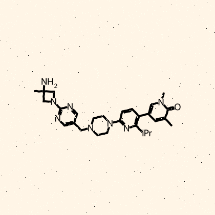 Cc1cc(-c2ccc(N3CCN(Cc4cnc(N5CC(C)(N)C5)nc4)CC3)nc2C(C)C)cn(C)c1=O